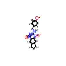 COc1ccc(CN(C)c2n[n+]([O-])c3cc4c(cc3[n+]2[O-])CCC4)cc1